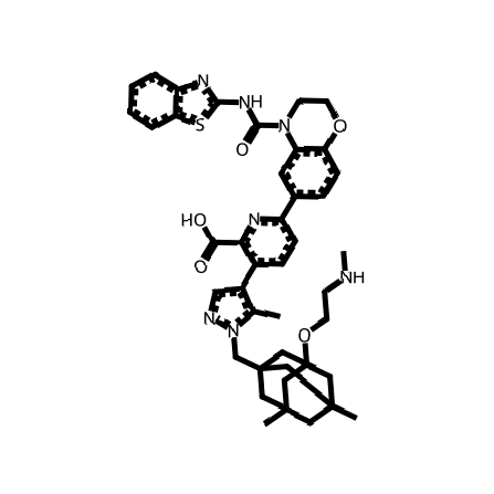 CNCCOC12CC3(C)CC(C)(CC(Cn4ncc(-c5ccc(-c6ccc7c(c6)N(C(=O)Nc6nc8ccccc8s6)CCO7)nc5C(=O)O)c4C)(C3)C1)C2